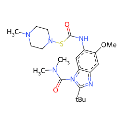 COc1cc2nc(C(C)(C)C)n(C(=O)N(C)C)c2cc1NC(=O)SN1CCN(C)CC1